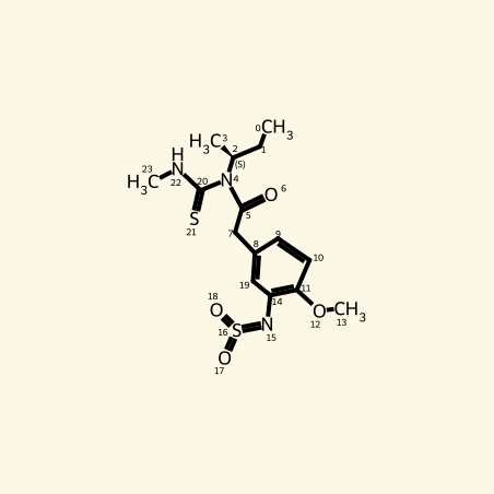 CC[C@H](C)N(C(=O)Cc1ccc(OC)c(N=S(=O)=O)c1)C(=S)NC